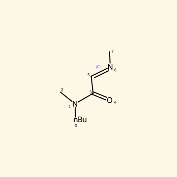 CCCCN(C)C(=O)/C=N/C